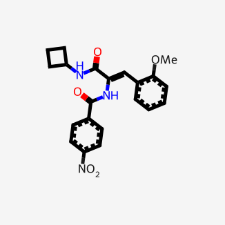 COc1ccccc1C=C(NC(=O)c1ccc([N+](=O)[O-])cc1)C(=O)NC1CCC1